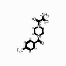 NC(=O)C(=O)N1CCN(C(=O)c2ccc(C(F)(F)F)cc2)CC1